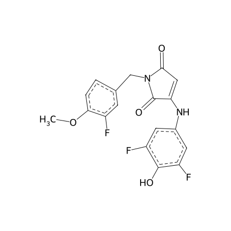 COc1ccc(CN2C(=O)C=C(Nc3cc(F)c(O)c(F)c3)C2=O)cc1F